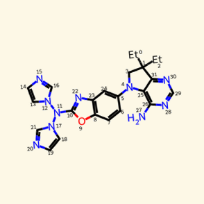 CCC1(CC)CN(c2ccc3oc(N(n4ccnc4)n4ccnc4)nc3c2)c2c(N)ncnc21